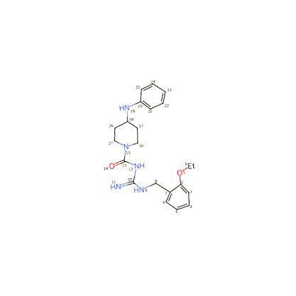 CCOc1ccccc1CNC(=N)NC(=O)N1CCC(Nc2ccccc2)CC1